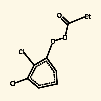 CCC(=O)OOc1cccc(Cl)c1Cl